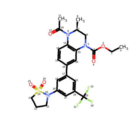 CCOC(=O)N1C[C@H](C)N(C(C)=O)c2ccc(-c3cc(N4CCCS4(=O)=O)cc(C(F)(F)F)c3)cc21